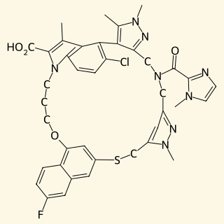 Cc1c(C(=O)O)n2c3ccc(Cl)c(c13)-c1c(nn(C)c1C)CN(C(=O)c1nccn1C)Cc1cc(n(C)n1)CSc1cc(c3ccc(F)cc3c1)OCCC2